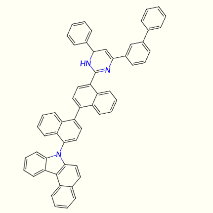 C1=C(c2cccc(-c3ccccc3)c2)N=C(c2ccc(-c3ccc(-n4c5ccccc5c5c6ccccc6ccc54)c4ccccc34)c3ccccc23)NC1c1ccccc1